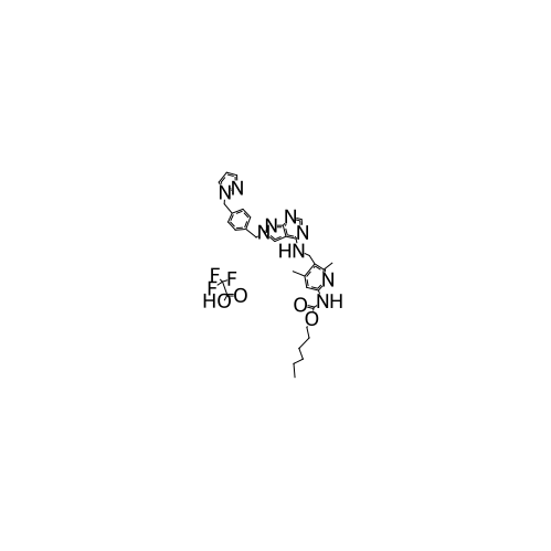 CCCCCCOC(=O)Nc1cc(C)c(CNc2ncnc3nn(Cc4ccc(Cn5cccn5)cc4)cc23)c(C)n1.O=C(O)C(F)(F)F